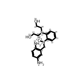 CN(Cc1cc(N)ccc1N)c1ccccc1N(CCO)CCO